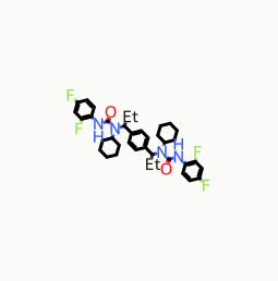 CCC(c1ccc(C(CC)N(C(=O)Nc2ccc(F)cc2F)C2CCCCC2)cc1)N(C(=O)Nc1ccc(F)cc1F)C1CCCCC1